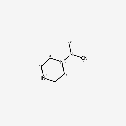 CN(C#N)N1CCNCC1